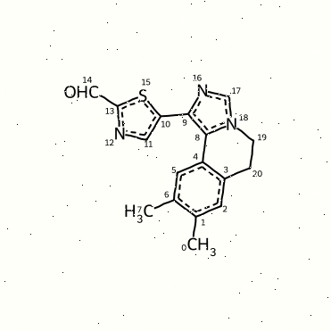 Cc1cc2c(cc1C)-c1c(-c3cnc(C=O)s3)ncn1CC2